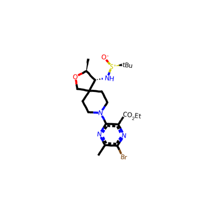 CCOC(=O)c1nc(Br)c(C)nc1N1CCC2(CC1)CO[C@@H](C)[C@@H]2N[S@@+]([O-])C(C)(C)C